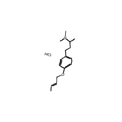 C/C=C/COc1ccc(CCC(C)N(C)C)cc1.Cl